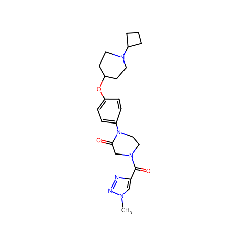 Cn1cc(C(=O)N2CCN(c3ccc(OC4CCN(C5CCC5)CC4)cc3)C(=O)C2)nn1